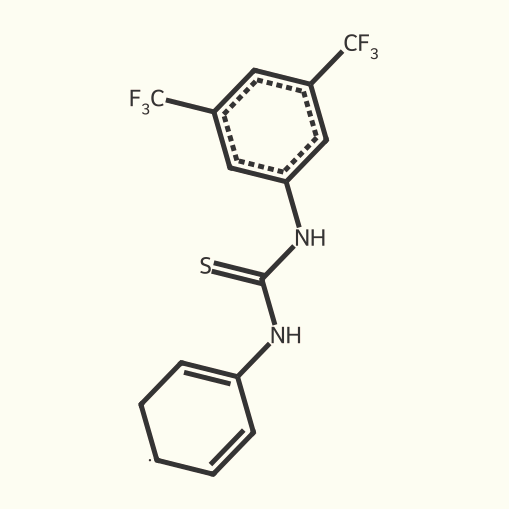 FC(F)(F)c1cc(NC(=S)NC2=CC[CH]C=C2)cc(C(F)(F)F)c1